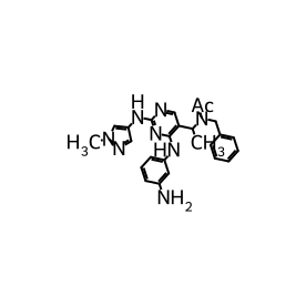 CC(=O)N(Cc1ccccc1)C(C)c1cnc(Nc2cnn(C)c2)nc1Nc1cccc(N)c1